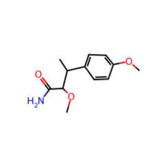 COc1ccc(C(C)C(OC)C(N)=O)cc1